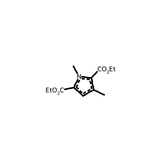 CCOC(=O)c1cc(C)c(C(=O)OCC)n1C